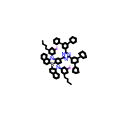 CCCCc1cc(I)cc(N2c3cc(-c4nc(-c5cc(-c6ccccc6)cc(-c6ccccc6)c5)nc(-c5cc(-c6ccccc6)cc(-c6ccccc6)c5)n4)cc4c3B(c3ccc5ccccc5c32)c2ccc3ccccc3c2N4c2cc(I)cc(CCCC)c2)c1